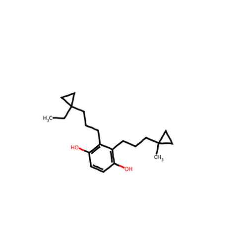 CCC1(CCCc2c(O)ccc(O)c2CCCC2(C)CC2)CC1